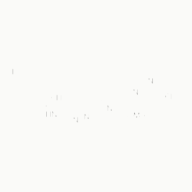 COc1nc(-c2ccc(NC(C)(C)c3ccc(F)cc3)nn2)ccc1-n1cnc(C)c1